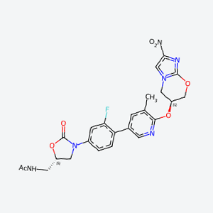 CC(=O)NC[C@H]1CN(c2ccc(-c3cnc(O[C@@H]4COc5nc([N+](=O)[O-])cn5C4)c(C)c3)c(F)c2)C(=O)O1